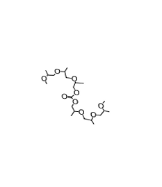 COC(C)COC(C)COC(C)COC(=O)OCC(C)OCC(C)OCC(C)OC